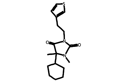 CN1C(=O)N(CCc2ccsc2)C(=O)C1(C)C1CCCCC1